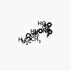 CC(C)C1C(C)CCCC1OCC(=O)Nc1ccc(NCc2c(F)cccc2Oc2ccccc2C(=O)O)cc1